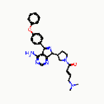 CN(C)C/C=C/C(=O)N1CCC(C2N=C(c3ccc(Oc4ccccc4)cc3)c3c(N)ncnc32)C1